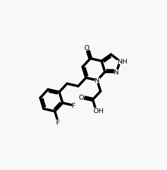 O=C(O)Cn1c(CCc2cccc(F)c2F)cc(=O)c2c[nH]nc21